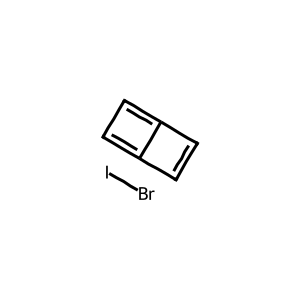 BrI.c1cc2ccc1-2